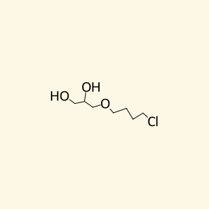 OCC(O)COCCCCCl